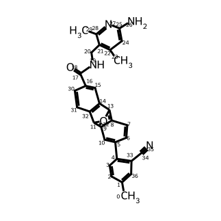 Cc1ccc(-c2ccc3c(c2)c2oc3c3cc(C(=O)NCc4c(C)cc(N)nc4C)ccc32)c(C#N)c1